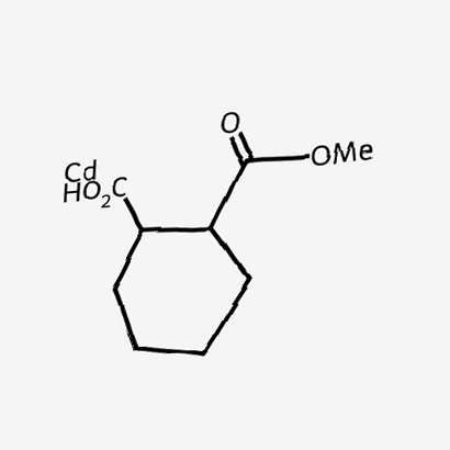 COC(=O)C1CCCCC1C(=O)O.[Cd]